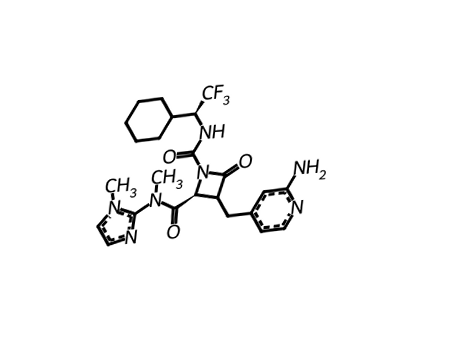 CN(C(=O)[C@@H]1C(Cc2ccnc(N)c2)C(=O)N1C(=O)N[C@@H](C1CCCCC1)C(F)(F)F)c1nccn1C